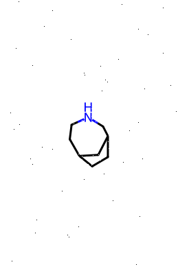 C1CC2CCC(CN1)C2